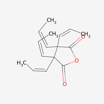 C/C=C\C1(/C=C\C)C(=O)OC(=O)C1(/C=C\C)/C=C\C